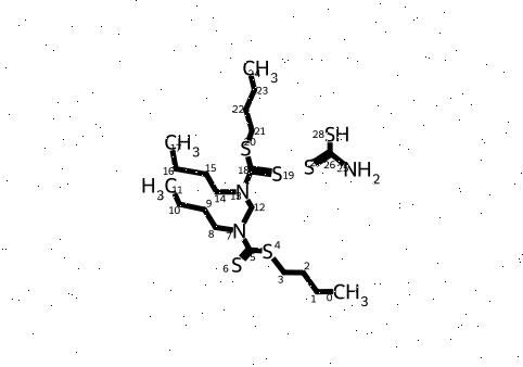 CCCCSC(=S)N(CCCC)CN(CCCC)C(=S)SCCCC.NC(=S)S